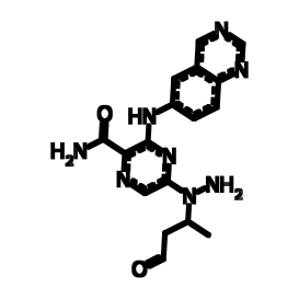 CC(CC=O)N(N)c1cnc(C(N)=O)c(Nc2ccc3ncncc3c2)n1